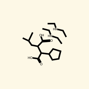 CC(C)CC(C(=O)O)C(C(=O)O)C1CCCC1.CCNCC.CCNCC